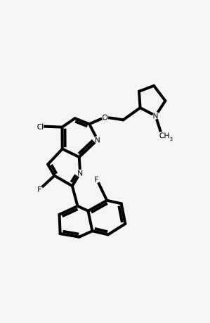 CN1CCCC1COc1cc(Cl)c2cc(F)c(-c3cccc4cccc(F)c34)nc2n1